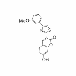 COc1cccc(-c2csc(-c3cc4ccc(O)cc4oc3=O)n2)c1